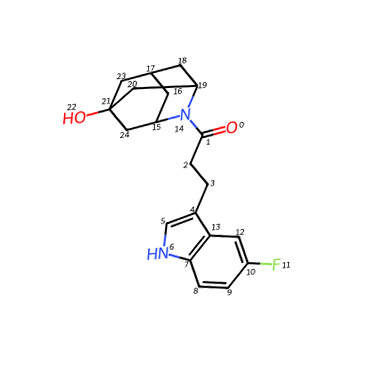 O=C(CCc1c[nH]c2ccc(F)cc12)N1C2CC3CC1CC(O)(C3)C2